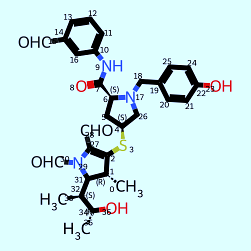 C[C@H]1C(S[C@H]2C[C@@H](C(=O)Nc3cccc(C=O)c3)N(Cc3ccc(O)cc3)C2)=C(C=O)N(C=O)C1[C@H](C)[C@@H](C)O